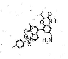 Cc1ccc(S(=O)(=O)n2ccc3c(-c4cc(CN)cc5c4OC(C(C)C)C(=O)N5)cn(C)c(=O)c32)cc1